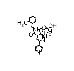 Cc1ccccc1CNC(=O)c1cc(-c2ccncc2)n[nH]c1=O.O=C(O)C(F)(F)F